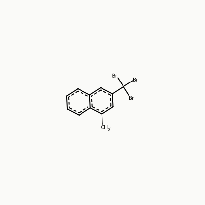 [CH2]c1cc(C(Br)(Br)Br)cc2ccccc12